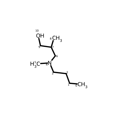 CCCCN(C)CC(C)CO